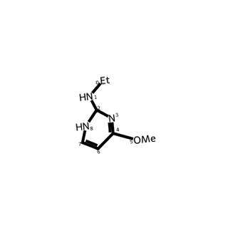 CCN[C]1N=C(OC)C=CN1